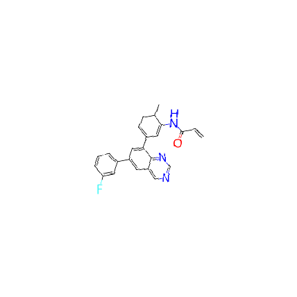 C=CC(=O)NC1=CC(c2cc(-c3cccc(F)c3)cc3cncnc23)=CCC1C